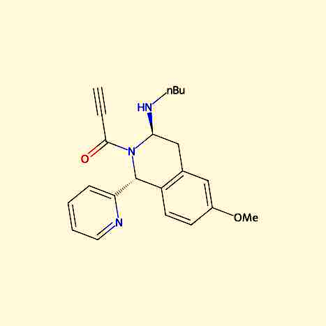 C#CC(=O)N1[C@@H](c2ccccn2)c2ccc(OC)cc2C[C@@H]1NCCCC